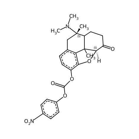 CN(C)[C@@]1(C)Cc2ccc(OC(=O)Oc3ccc([N+](=O)[O-])cc3)c3c2C2(C)C1CCC(=O)[C@H]2O3